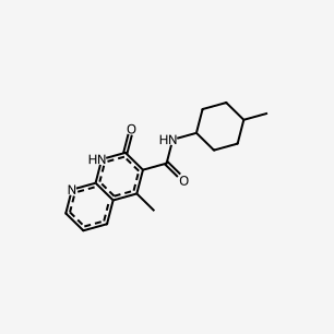 Cc1c(C(=O)NC2CCC(C)CC2)c(=O)[nH]c2ncccc12